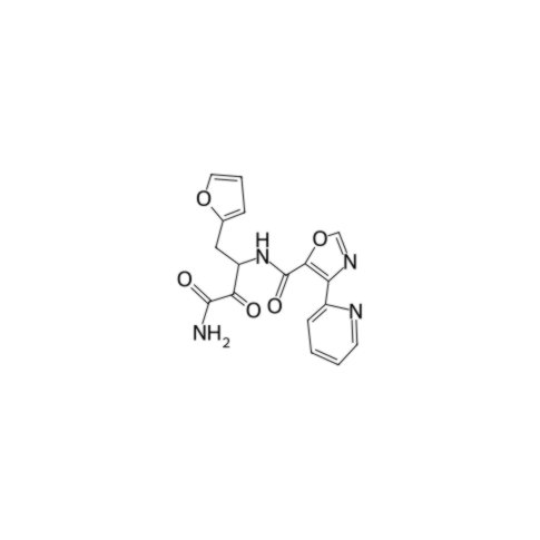 NC(=O)C(=O)C(Cc1ccco1)NC(=O)c1ocnc1-c1ccccn1